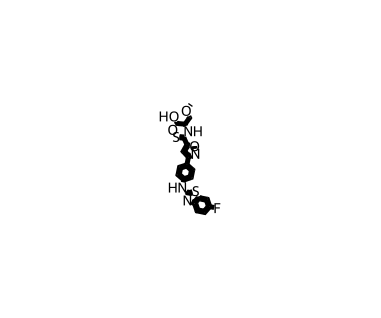 COCC(NC(=S)c1cc(-c2ccc(Nc3nc4ccc(F)cc4s3)cc2)no1)C(=O)O